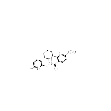 CC(C)(C)c1ccc(C(=O)NSc2cccc(F)n2)c(C2CCCCC2)n1